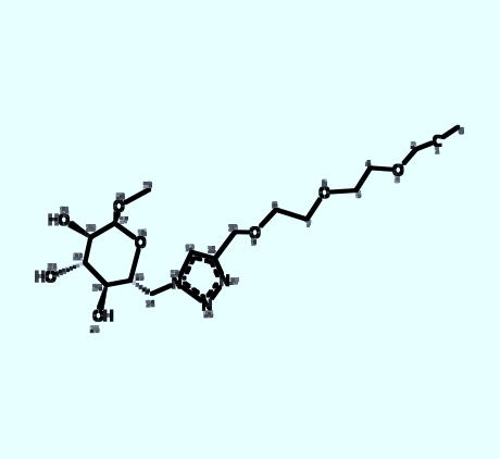 CCCOCCOCCOCc1cn(C[C@H]2O[C@H](OC)[C@H](O)[C@@H](O)[C@@H]2O)nn1